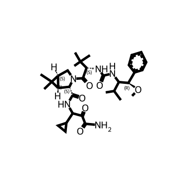 CO[C@H](c1ccccc1)C(NC(=O)N[C@H](C(=O)N1C[C@H]2[C@@H]([C@H]1C(=O)NC(C(=O)C(N)=O)C1CC1)C2(C)C)C(C)(C)C)C(C)C